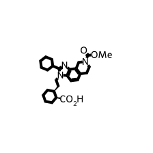 COC(=O)N1CCc2ccc3c(nc(C4CCCCC4)n3CC[C@@H]3CCCC[C@@H]3C(=O)O)c2C1